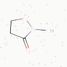 CN1OC[CH]C1=O